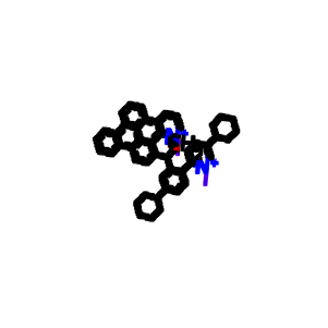 C=CC(c1cc(C2CCCCC2)ccc1-c1ccc(C2CCCCC2)c[n+]1I)c1ccc2c3ccccc3c3cccc4c5ccc[n+](I)c5c1c2c34